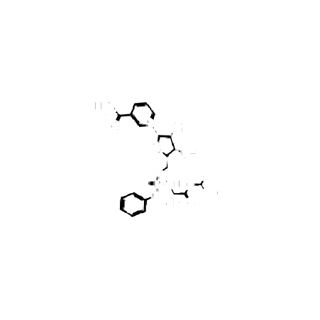 CC(C)OC(=O)[C@H](C)N[P@](=O)(OC[C@H]1O[C@@H]([n+]2cccc(C(N)=O)c2)[C@@H](O)[C@H]1O)Oc1ccccc1